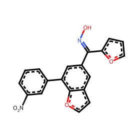 O=[N+]([O-])c1cccc(-c2cc(C(=NO)c3ccco3)cc3ccoc23)c1